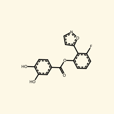 O=C(Oc1cccc(F)c1-c1ccno1)c1ccc(O)c(O)c1